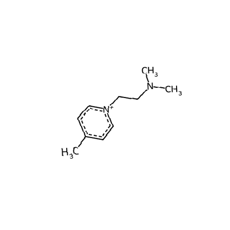 Cc1cc[n+](CCN(C)C)cc1